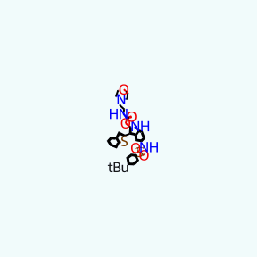 CC(C)(C)c1ccc(S(=O)(=O)Nc2ccc3[nH]c(OC(=O)NCCN4CCOCC4)c(-c4cc5ccccc5s4)c3c2)cc1